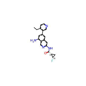 CCc1ccncc1-c1cc(N)c2cnc(NC(=O)[C@@H]3C[C@@H]3F)cc2c1